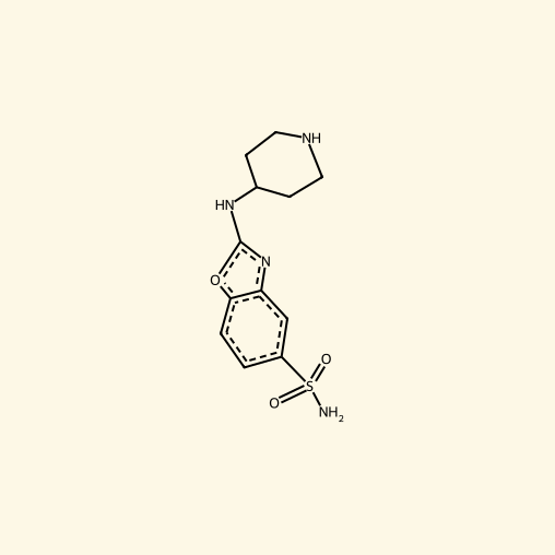 NS(=O)(=O)c1ccc2oc(NC3CCNCC3)nc2c1